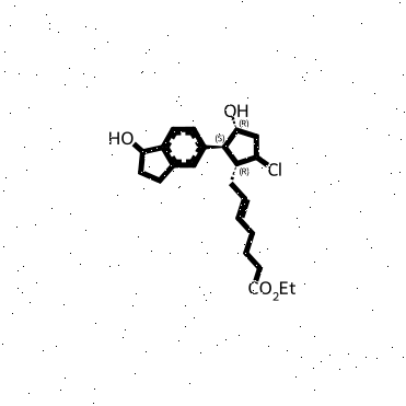 CCOC(=O)CCCC=CC[C@H]1C(Cl)C[C@@H](O)[C@@H]1c1ccc2c(c1)CCC2O